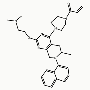 C=CC(=O)N1CCN(c2nc(OCCN(C)C)nc3c2CC(C)N(c2cccc4ccccc24)C3)CC1